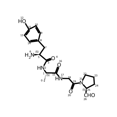 C[C@H](NC(=O)[C@@H](N)Cc1ccc(O)cc1)C(=O)NCC(=O)N1CCC[C@H]1C=O